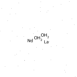 O.O.[La].[Nd]